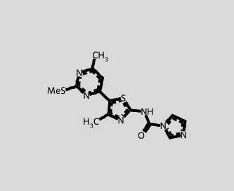 CSc1nc(C)cc(-c2sc(NC(=O)n3ccnc3)nc2C)n1